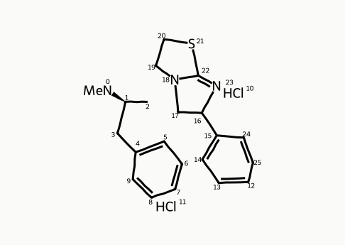 CN[C@@H](C)Cc1ccccc1.Cl.Cl.c1ccc(C2CN3CCSC3=N2)cc1